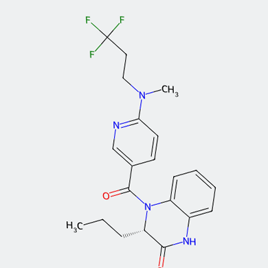 CCC[C@H]1C(=O)Nc2ccccc2N1C(=O)c1ccc(N(C)CCC(F)(F)F)nc1